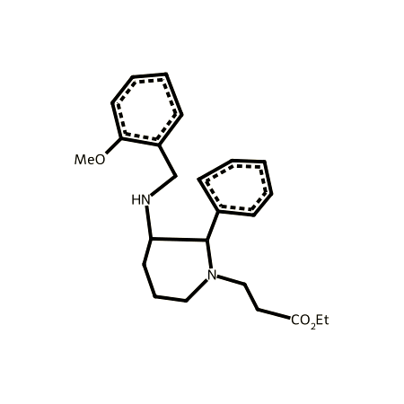 CCOC(=O)CCN1CCCC(NCc2ccccc2OC)C1c1ccccc1